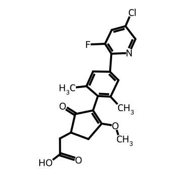 COC1=C(c2c(C)cc(-c3ncc(Cl)cc3F)cc2C)C(=O)C(CC(=O)O)C1